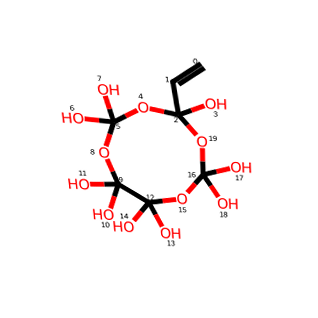 C=CC1(O)OC(O)(O)OC(O)(O)C(O)(O)OC(O)(O)O1